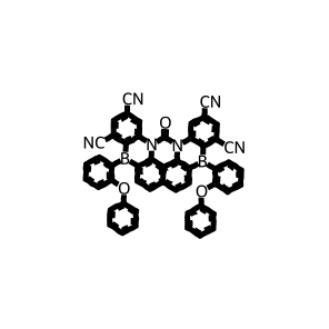 N#Cc1cc(C#N)c2c(c1)N1C(=O)N3c4cc(C#N)cc(C#N)c4B(c4ccccc4Oc4ccccc4)c4ccc5ccc(c1c5c43)B2c1ccccc1Oc1ccccc1